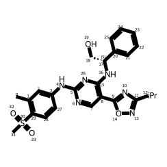 Cc1cc(Nc2ncc(-c3nc(C(C)C)no3)c(N[C@H](CO)c3ccccc3)n2)ccc1S(C)(=O)=O